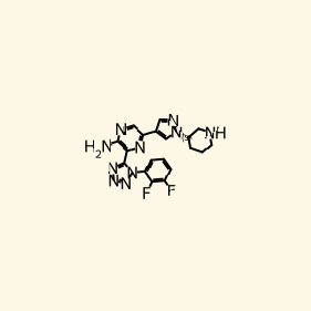 Nc1ncc(-c2cnn([C@H]3CCCNC3)c2)nc1-c1nnnn1-c1cccc(F)c1F